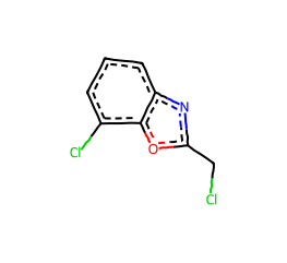 ClCc1nc2cccc(Cl)c2o1